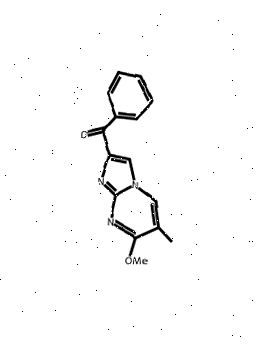 COc1nc2nc(C(=O)c3ccccc3)cn2cc1C